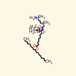 CCCCCCCCC(CCCCCCCC)OC(=O)CCCCCCCNCC(CN(C)CCCN(C)C)O[Si](C)(C)C(C)(C)C